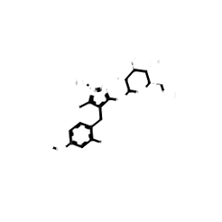 Cc1c(Cc2ccc(OC(C)C)cc2F)c(OC2O[C@H](CO)[C@@H](O)[C@H](O)[C@H]2O)nn1C(C)C